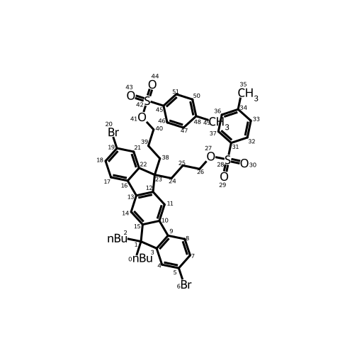 CCCCC1(CCCC)c2cc(Br)ccc2-c2cc3c(cc21)-c1ccc(Br)cc1C3(CCCOS(=O)(=O)c1ccc(C)cc1)CCCOS(=O)(=O)c1ccc(C)cc1